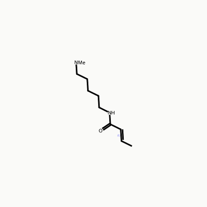 C/C=C/C(=O)NCCCCCNC